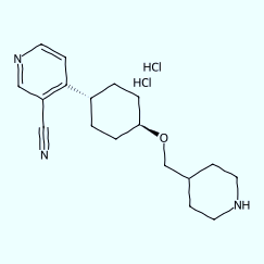 Cl.Cl.N#Cc1cnccc1[C@H]1CC[C@H](OCC2CCNCC2)CC1